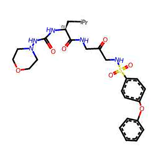 CC(C)C[C@H](NC(=O)NN1CCOCC1)C(=O)NCC(=O)CNS(=O)(=O)c1ccc(Oc2ccccc2)cc1